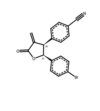 C=C1C(=O)O[C@H](c2ccc(Br)cc2)[C@@H]1c1ccc(C#N)cc1